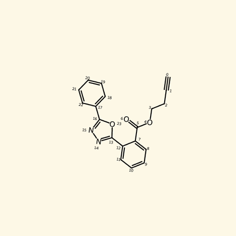 C#CCCOC(=O)c1ccccc1-c1nnc(-c2ccccc2)o1